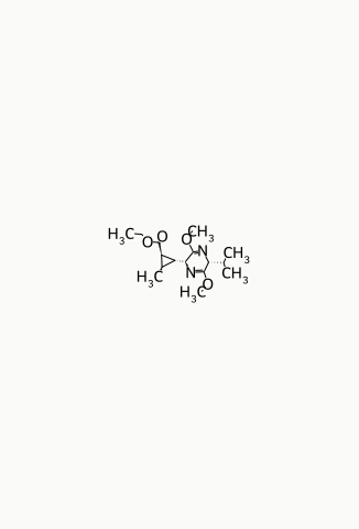 CCOC(=O)[C@@H]1[C@H](C)[C@H]1[C@@H]1N=C(OC)[C@@H](C(C)C)N=C1OC